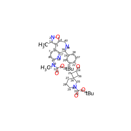 Cc1noc2c1-c1ccc(N(C)C(=O)OC(C)(C)C)nc1C(c1ccc(OC3CC4(CCCN(C(=O)OC(C)(C)C)C4)C3)cc1)=NC2